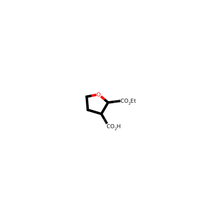 CCOC(=O)C1OCCC1C(=O)O